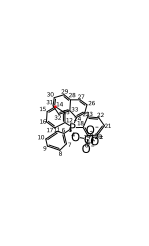 [O-][Cl+3]([O-])([O-])OP(c1ccccc1)(c1ccccc1)(c1ccccc1)c1cccc2ccccc12